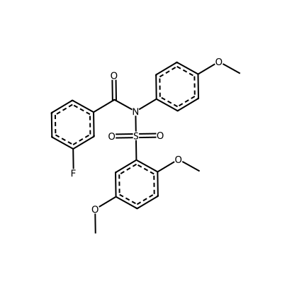 COc1ccc(N(C(=O)c2cccc(F)c2)S(=O)(=O)c2cc(OC)ccc2OC)cc1